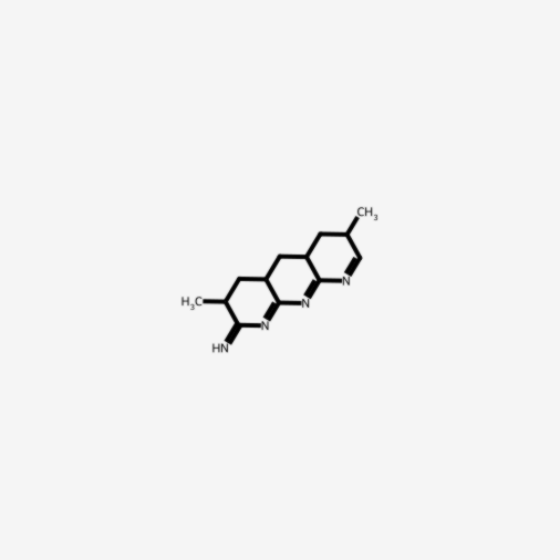 CC1C=NC2=NC3=NC(=N)C(C)CC3CC2C1